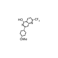 COc1ccc(-c2cc3nc(C(F)(F)F)ccc3c(O)n2)cc1